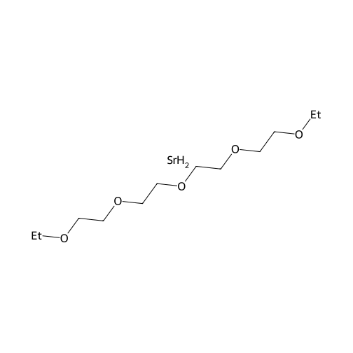 CCOCCOCCOCCOCCOCC.[SrH2]